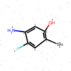 CC(C)(C)c1cc(F)c(N)cc1O